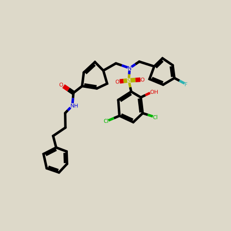 O=C(NCCCc1ccccc1)C1=CCC(CN(Cc2ccc(F)cc2)S(=O)(=O)c2cc(Cl)cc(Cl)c2O)C=C1